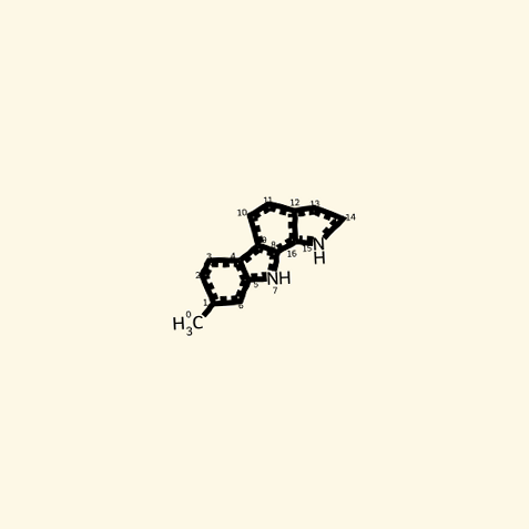 Cc1ccc2c(c1)[nH]c1c2ccc2cc[nH]c21